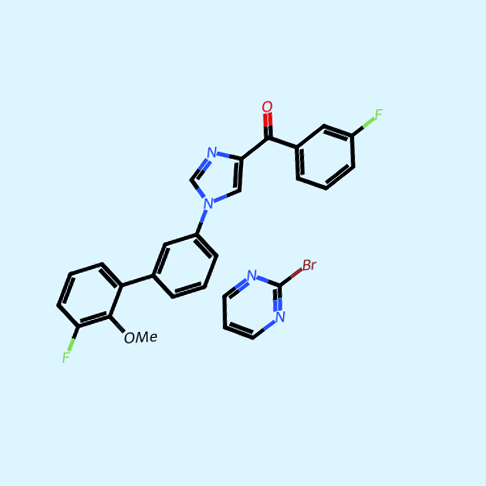 Brc1ncccn1.COc1c(F)cccc1-c1cccc(-n2cnc(C(=O)c3cccc(F)c3)c2)c1